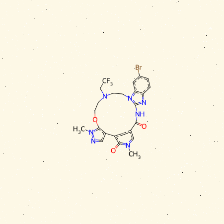 Cn1ncc2c1OCCN(CC(F)(F)F)CCn1c(nc3ccc(Br)cc31)NC(=O)c1cc-2c(=O)n(C)c1